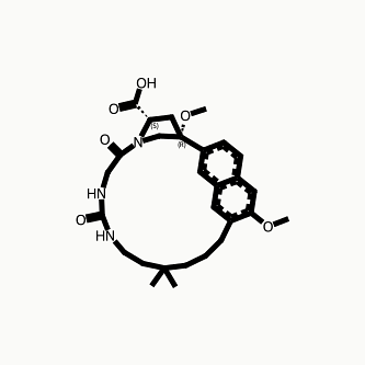 COc1cc2ccc3cc2cc1CCCC(C)(C)CCNC(=O)NCC(=O)N1C[C@@]3(OC)C[C@H]1C(=O)O